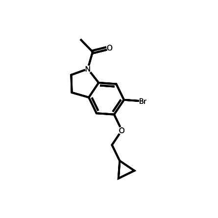 CC(=O)N1CCc2cc(OCC3CC3)c(Br)cc21